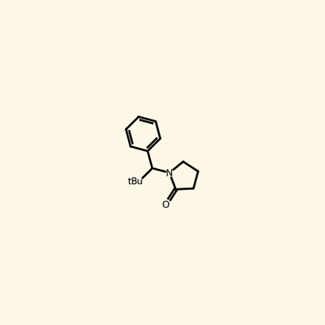 CC(C)(C)C(c1ccccc1)N1CCCC1=O